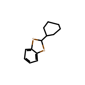 c1ccc2c(c1)SC([C]1CCCCC1)S2